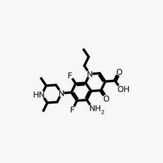 CCCn1cc(C(=O)O)c(=O)c2c(N)c(F)c(N3CC(C)NC(C)C3)c(F)c21